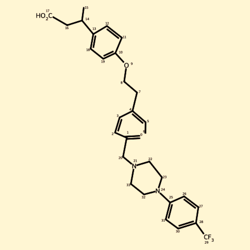 C=C(/C=C\C(=C/C)CCOc1ccc(C(C)CC(=O)O)cc1)CN1CCN(c2ccc(C(F)(F)F)cc2)CC1